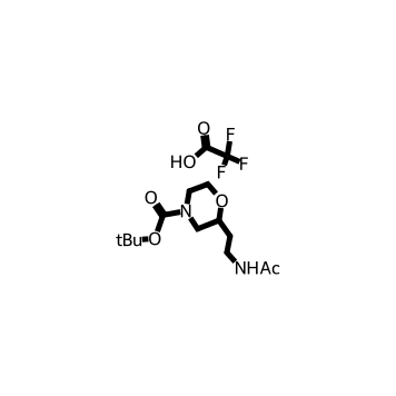 CC(=O)NCCC1CN(C(=O)OC(C)(C)C)CCO1.O=C(O)C(F)(F)F